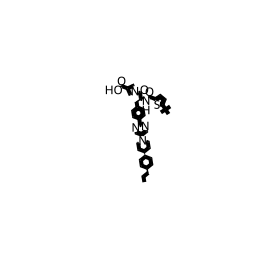 CCC[C@H]1CC[C@H](C2CCN(c3cnc(-c4ccc(C[C@H](NC(=O)c5ccc(C(C)(C)C)s5)C(=O)N5CC(C(=O)O)C5)cc4)nc3)CC2)CC1